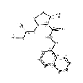 CC[C@H]1CCN(C[C@@H](N)CS)[C@@H]1C(=O)NCc1cccc2ccccc12